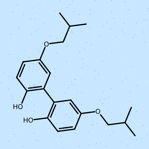 CC(C)COc1ccc(O)c(-c2cc(OCC(C)C)ccc2O)c1